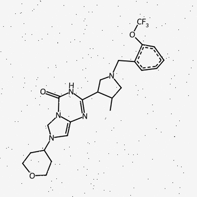 CC1CN(Cc2ccccc2OC(F)(F)F)CC1C1=NC2=CN(C3CCOCC3)CN2C(=O)N1